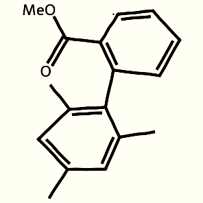 COC(=O)c1[c]cccc1-c1c(C)cc(C)cc1C